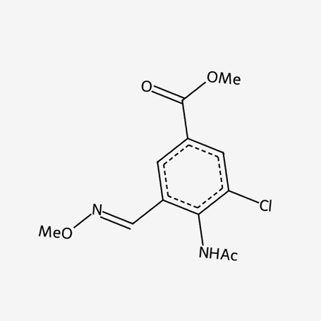 CON=Cc1cc(C(=O)OC)cc(Cl)c1NC(C)=O